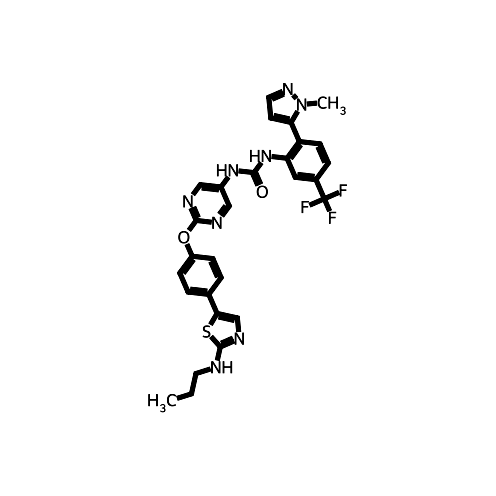 CCCNc1ncc(-c2ccc(Oc3ncc(NC(=O)Nc4cc(C(F)(F)F)ccc4-c4ccnn4C)cn3)cc2)s1